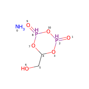 N.O=[PH]1OC(CO)O[PH](=O)O1